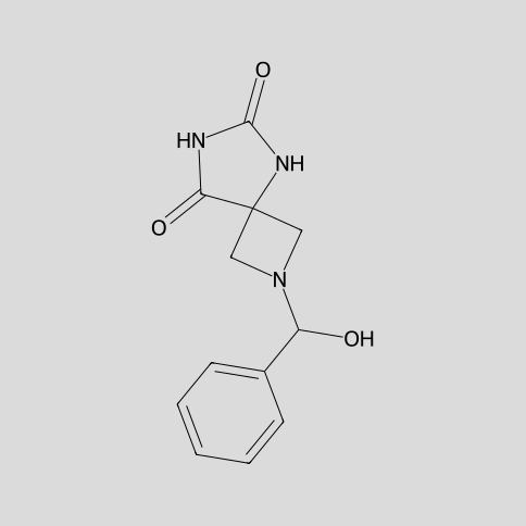 O=C1NC(=O)C2(CN(C(O)c3ccccc3)C2)N1